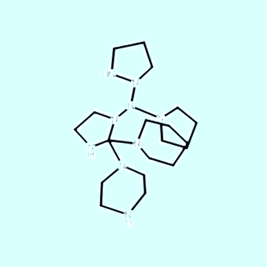 C1CCN(C2(N3CCNCC3)NCCN2N(N2CCCC2)N2CCCN2)CC1